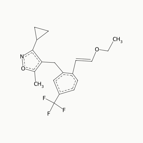 CCOC=Cc1ccc(C(F)(F)F)cc1Cc1c(C2CC2)noc1C